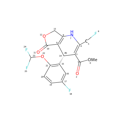 COC(=O)C1=C(CF)NC2=C(C(=O)OC2)[C@H]1c1cc(F)ccc1OC(F)F